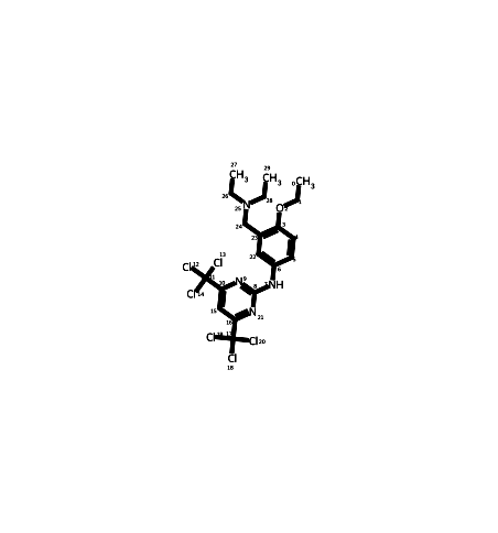 CCOc1ccc(Nc2nc(C(Cl)(Cl)Cl)cc(C(Cl)(Cl)Cl)n2)cc1CN(CC)CC